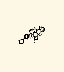 C[C@H]1[C@@H](CF)CN1C(=O)c1c(-c2ncccn2)nn2ccc(-c3ccc(C4CCCCC4)cc3)nc12